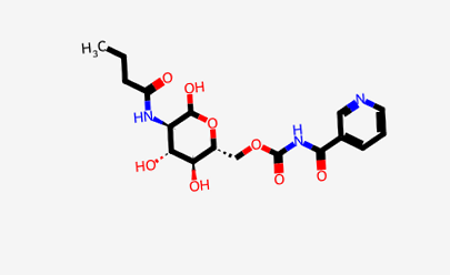 CCCC(=O)N[C@H]1C(O)O[C@H](COC(=O)NC(=O)c2cccnc2)[C@@H](O)[C@@H]1O